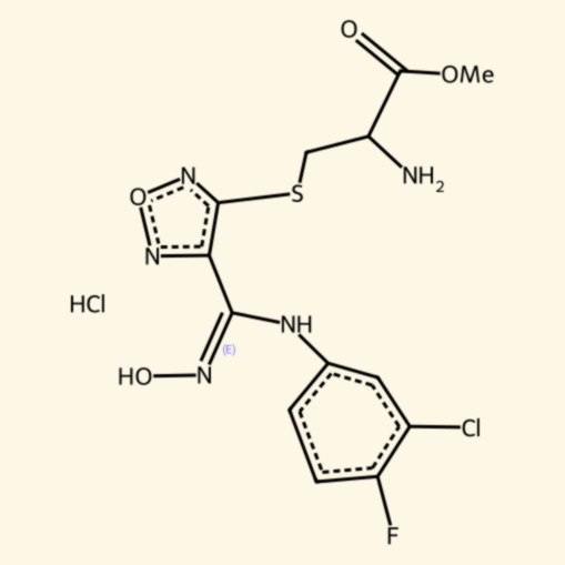 COC(=O)C(N)CSc1nonc1/C(=N\O)Nc1ccc(F)c(Cl)c1.Cl